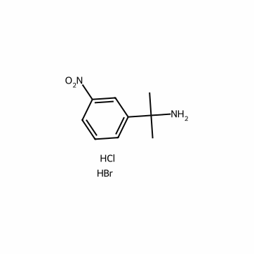 Br.CC(C)(N)c1cccc([N+](=O)[O-])c1.Cl